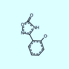 [O]c1ccccc1-c1noc(=O)[nH]1